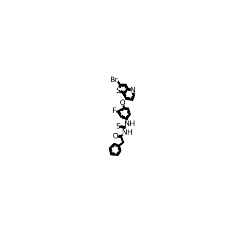 O=C(Cc1ccccc1)NC(=S)Nc1ccc(Oc2ccnc3cc(Br)sc23)c(F)c1